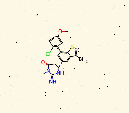 Bc1csc2c(-c3cc(OC)ccc3Cl)cc([C@]3(C)CC(=O)N(C)C(=N)N3)cc12